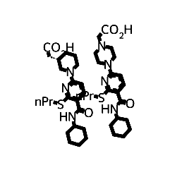 CCCSc1nc(N2CCC[C@@H](CC(=O)O)C2)ccc1C(=O)NC1CCCCC1.CCCSc1nc(N2CCN(CC(=O)O)CC2)ccc1C(=O)NC1CCCCC1